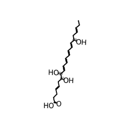 CCC=CC[C@@H](O)C=CC=CC=CC=C[C@@H](O)[C@@H](O)CC=CCCC(=O)O